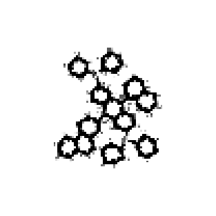 c1ccc(N(c2ccccc2)c2ccc3c(-c4cccc5ccccc45)c4cc(N(c5ccccc5)c5ccccc5)ccc4c(-c4ccc5c(ccc6ccccc65)c4)c3c2)cc1